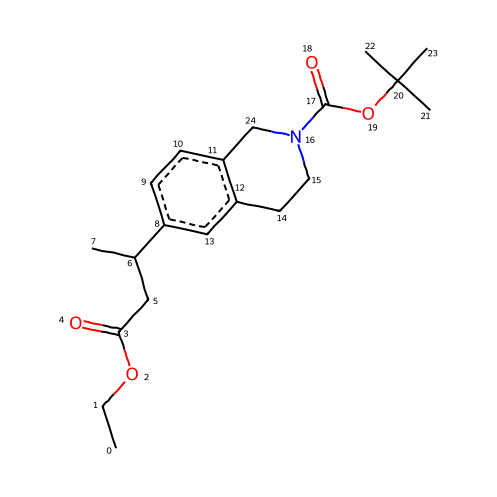 CCOC(=O)CC(C)c1ccc2c(c1)CCN(C(=O)OC(C)(C)C)C2